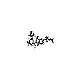 CCc1cc(-c2noc(C3CC3)n2)ccc1S(=O)(=O)N[C@@H]1C[C@H](n2cnnc2C)CC(F)(F)C1